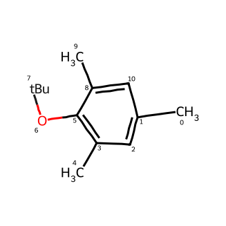 Cc1cc(C)c(OC(C)(C)C)c(C)c1